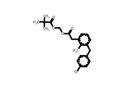 Cc1c(CC(=O)OCOC(=O)C(C)(C)C)cccc1Cc1ccc(Cl)cc1